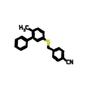 Cc1ccc(SCc2ccc(C#N)cc2)cc1-c1ccccc1